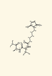 CC(C)C(=O)[C@H](C)NC(=O)[C@@H](NC(=O)CCCCCN1C(=O)C=CC1=O)C(C)C